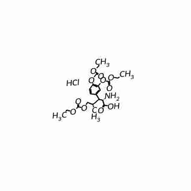 CCOC(=O)OC[C@H](C)C(c1ccc(OC(=O)OCC)c(OC(=O)OCC)c1)[C@H](N)C(=O)O.Cl